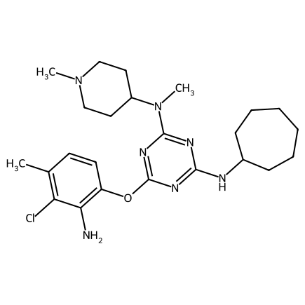 Cc1ccc(Oc2nc(NC3CCCCCC3)nc(N(C)C3CCN(C)CC3)n2)c(N)c1Cl